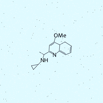 COC1=CC(C(C)NC2CC2)=NC2=CC=CCC21